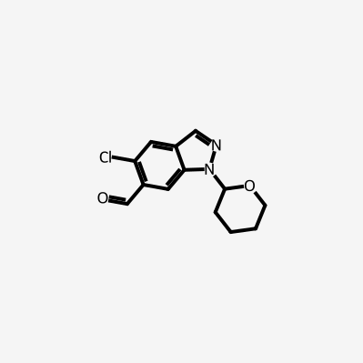 O=Cc1cc2c(cnn2C2CCCCO2)cc1Cl